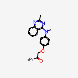 CCCC(=O)COc1ccc(N(C)c2nc(C)nc3ccccc23)cc1